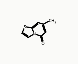 Cc1[c]c(=O)n2ccsc2c1